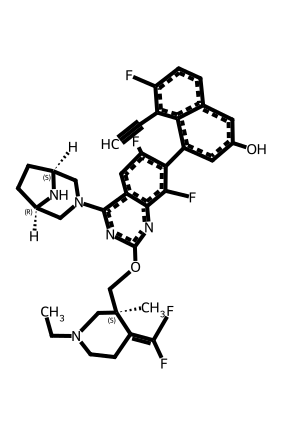 C#Cc1c(F)ccc2cc(O)cc(-c3c(F)cc4c(N5C[C@H]6CC[C@@H](C5)N6)nc(OC[C@]5(C)CN(CC)CCC5=C(F)F)nc4c3F)c12